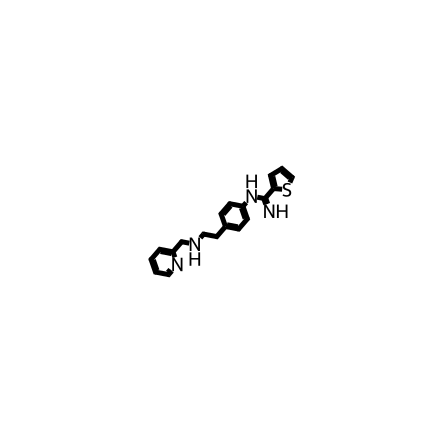 N=C(Nc1ccc(CCNCc2ccccn2)cc1)c1cccs1